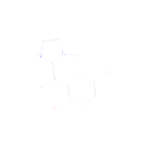 Cn1ccnc1C(=O)c1cc(Cl)ccc1O